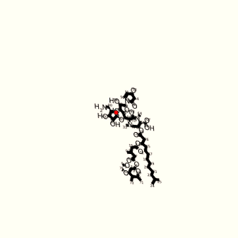 COC1C(OC(=O)CC(C)CC(=O)OC(CCCCCCCCC(C)C)CC(=O)O[C@H]2CN(C)[C@@H]([C@H](O[C@@H]3O[C@H](CN)C(O)[C@@H]3O)[C@H]3O[C@@H](N4C=CC(=O)CC4=O)[C@@H](O)C3O)C(=O)N(C)[C@@H]2C(=O)O)OC(C)C(C)C1OC